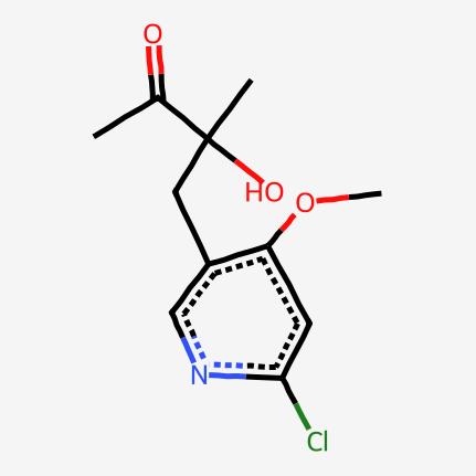 COc1cc(Cl)ncc1CC(C)(O)C(C)=O